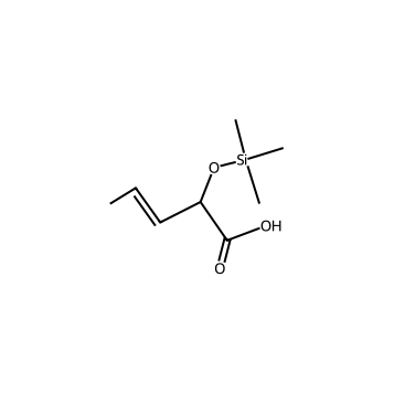 CC=CC(O[Si](C)(C)C)C(=O)O